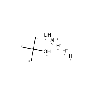 CC(C)(C)O.[Al+3].[H-].[H-].[H-].[LiH]